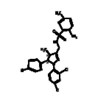 Cc1ccc(C)c(S(=O)(=O)NCC2=NN(c3ccc(Cl)cc3Cl)[C@@H](c3ccc(Cl)cc3)[C@H]2C)c1